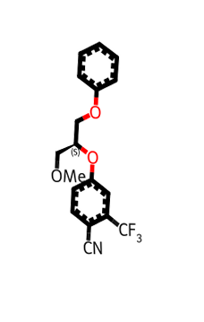 COC[C@@H](COc1ccccc1)Oc1ccc(C#N)c(C(F)(F)F)c1